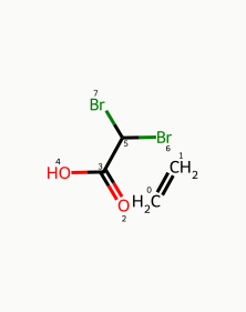 C=C.O=C(O)C(Br)Br